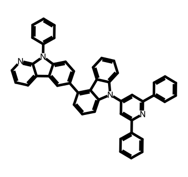 c1ccc(-c2cc(-n3c4ccccc4c4c(-c5ccc6c(c5)c5cccnc5n6-c5ccccc5)cccc43)cc(-c3ccccc3)n2)cc1